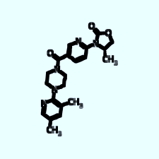 Cc1cnc(N2CCN(C(=O)c3ccc(N4C(=O)OC[C@H]4C)nc3)CC2)c(C)c1